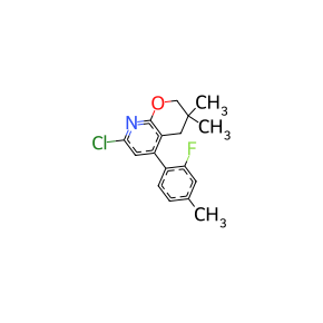 Cc1ccc(-c2cc(Cl)nc3c2CC(C)(C)CO3)c(F)c1